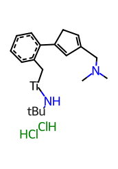 CN(C)CC1=CCC(c2ccccc2[CH2][Ti][NH]C(C)(C)C)=C1.Cl.Cl